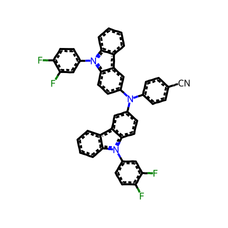 N#Cc1ccc(N(c2ccc3c(c2)c2ccccc2n3-c2ccc(F)c(F)c2)c2ccc3c(c2)c2ccccc2n3-c2ccc(F)c(F)c2)cc1